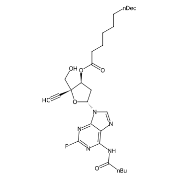 C#C[C@]1(CO)O[C@@H](n2cnc3c(NC(=O)CCCC)nc(F)nc32)C[C@@H]1OC(=O)CCCCCCCCCCCCCCC